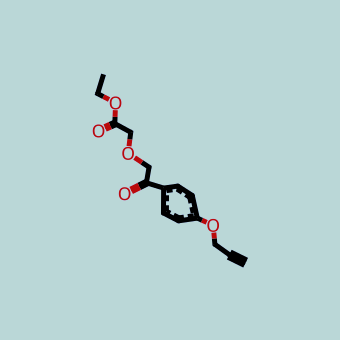 C#CCOc1ccc(C(=O)COCC(=O)OCC)cc1